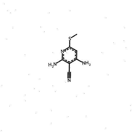 CSc1cc(N)c(C#N)c(N)n1